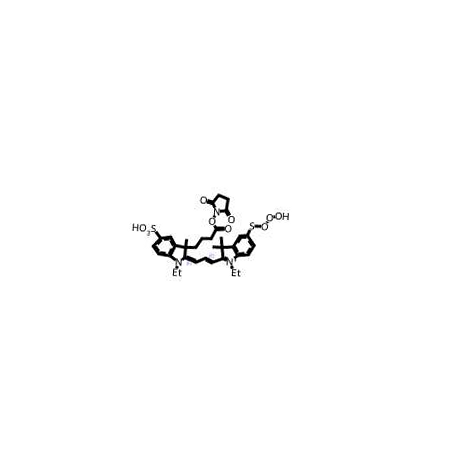 CCN1/C(=C/C=C/C2=[N+](CC)c3ccc(SOOO)cc3C2(C)C)C(C)(CCCC(=O)ON2C(=O)CCC2=O)c2cc(S(=O)(=O)O)ccc21